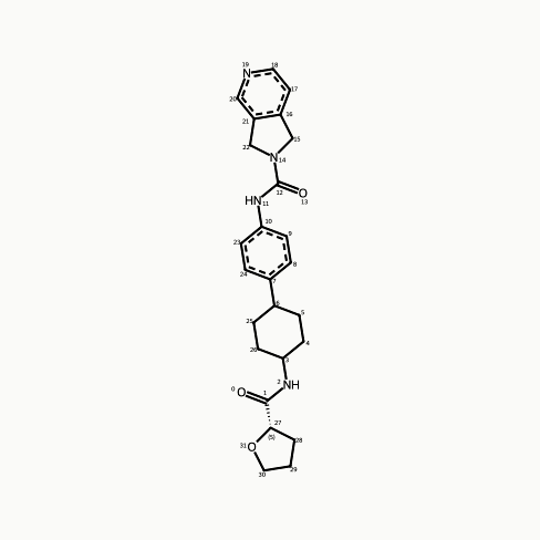 O=C(NC1CCC(c2ccc(NC(=O)N3Cc4ccncc4C3)cc2)CC1)[C@@H]1CCCO1